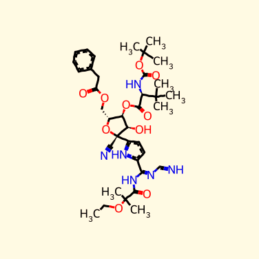 CCOC(C)(C)C(=O)N/C(=N/C=N)c1ccc([C@]2(C#N)O[C@H](COC(=O)Cc3ccccc3)[C@@H](OC(=O)[C@@H](NC(=O)OC(C)(C)C)C(C)(C)C)[C@H]2O)[nH]1